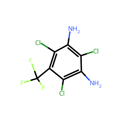 Nc1c(Cl)c(N)c(Cl)c(C(F)(F)F)c1Cl